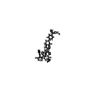 C[S+]([O-])c1ccc(-c2ccc3cc(C(=O)NC4(C(=O)NC5(C#N)CC5)CCC(F)(F)CC4)oc3c2)cc1